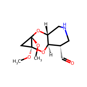 CO[C@]12C[C@]1(OC)O[C@@H]1CNC[C@H](C=O)[C@H]1O2